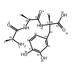 C[C@H](N)C(=O)N[C@@H](C)C(=O)N[C@@](C)(Cc1ccc(O)c(O)c1)C(=O)O